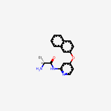 CC[C@@H](N)C(=O)Nc1cc(Oc2ccc3ccccc3c2)ccn1